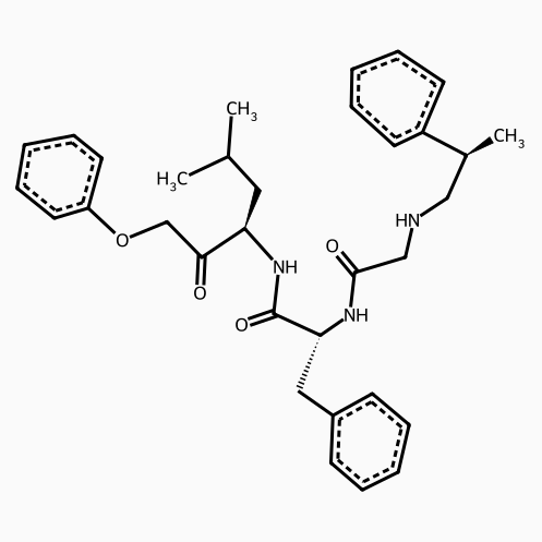 CC(C)C[C@@H](NC(=O)[C@@H](Cc1ccccc1)NC(=O)CNC[C@H](C)c1ccccc1)C(=O)COc1ccccc1